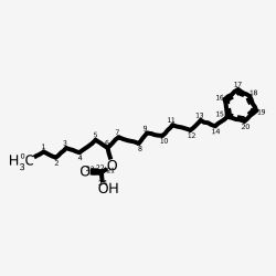 CCCCCCC(CCCCCCCCc1ccccc1)OC(=O)O